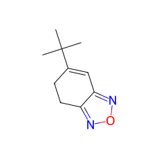 CC(C)(C)C1=Cc2nonc2CC1